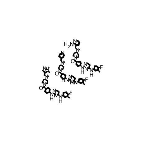 Cc1cc(Nc2ccnc(Nc3ccc(C(=O)N4CCC(N(C)Cc5cccnc5N)CC4)cc3)n2)ccc1F.Cc1cc(Nc2ccnc(Nc3ccc(C(=O)N4CCC(N(C)Cc5ccncc5)CC4)cc3)n2)ccc1F.Cc1cc(Nc2ccnc(Nc3ccc(C(=O)N4CCC(N(C)Cc5cnn(C)c5C)CC4)cc3)n2)ccc1F